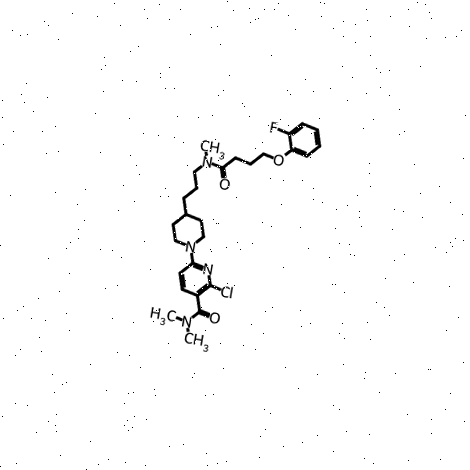 CN(C)C(=O)c1ccc(N2CCC(CCCN(C)C(=O)CCCOc3ccccc3F)CC2)nc1Cl